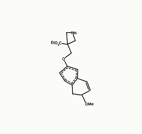 CCOC(=O)C1(COc2ccc3c(c2)C=CC(OC)C3)CNC1